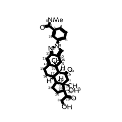 CNC(=O)c1cccc(-n2cc3c(n2)C=C2CC[C@@H]4[C@H](C(=O)C[C@@]5(C)[C@H]4CC[C@]5(O)C(=O)CO)[C@@]2(C)C3)c1